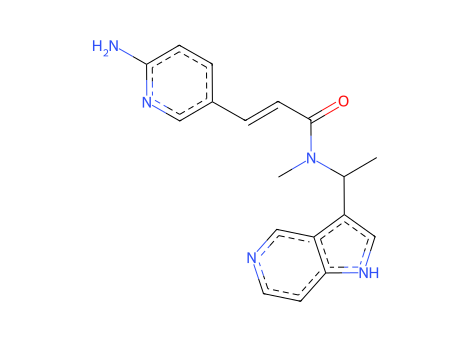 CC(c1c[nH]c2ccncc12)N(C)C(=O)/C=C/c1ccc(N)nc1